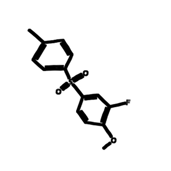 COc1ccc(S(=O)(=O)c2ccc(C)cc2)cc1F